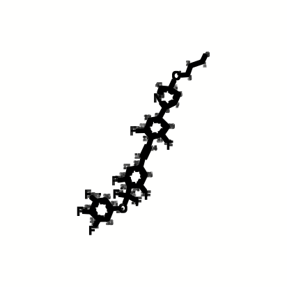 CCCCOc1ccc(-c2cc(F)c(C#Cc3cc(F)c(C(F)(F)Oc4cc(F)c(F)c(F)c4)c(F)c3)c(F)c2)nc1